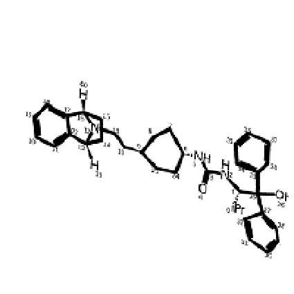 CC(C)[C@H](NC(=O)N[C@H]1CC[C@H](CCN2[C@@H]3CC[C@H]2c2ccccc23)CC1)C(O)(c1ccccc1)c1ccccc1